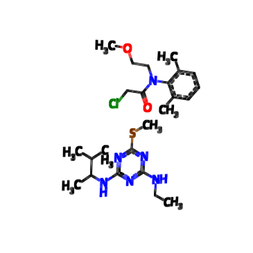 CCNc1nc(NC(C)C(C)C)nc(SC)n1.COCCN(C(=O)CCl)c1c(C)cccc1C